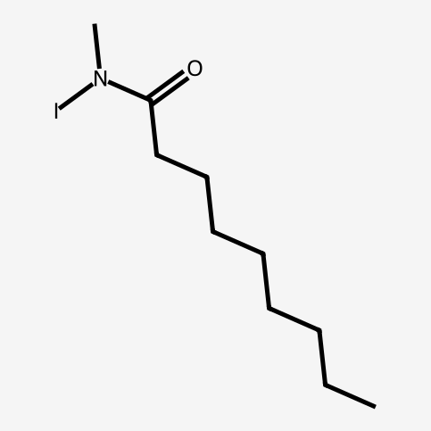 CCCCCCCCC(=O)N(C)I